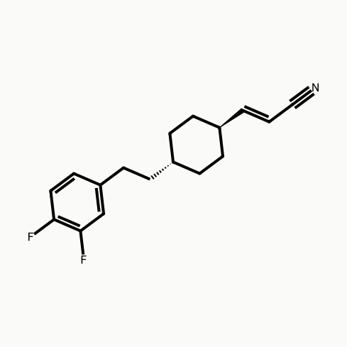 N#CC=C[C@H]1CC[C@H](CCc2ccc(F)c(F)c2)CC1